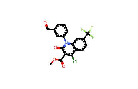 COC(=O)c1c(Cl)c2ccc(C(F)(F)F)cc2n(-c2cccc(C=O)c2)c1=O